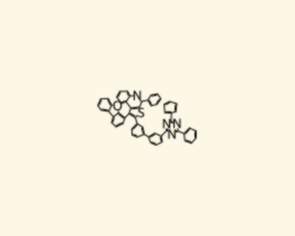 c1ccc(-c2nc(-c3ccccc3)nc(-c3cccc(-c4cccc(-c5sc6c(-c7ccccc7)nc7ccccc7c6c5-c5cccc6c5oc5ccccc56)c4)c3)n2)cc1